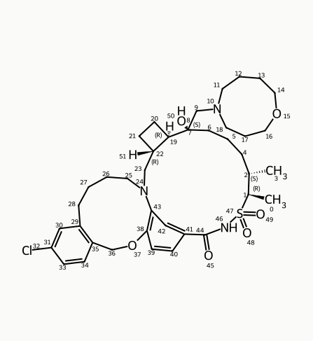 C[C@@H]1[C@@H](C)CCC[C@@](O)(CN2CCCCOCCC2)[C@@H]2CC[C@H]2CN2CCCCc3cc(Cl)ccc3COc3ccc(cc32)C(=O)NS1(=O)=O